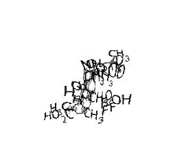 Cc1oc(=O)oc1COC(=O)[C@@]1(C)[C@@H]2CC[C@]3(C)[C@H](C(=O)C=C4[C@@H]5C[C@@](C)(C(=O)O)CC[C@]5(C)CC[C@]43C)[C@@]2(C)CC[C@@H]1N.O=C(O)C(F)(F)F